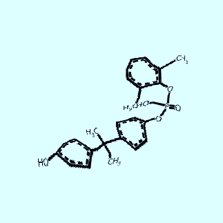 Cc1cccc(C)c1OP(=O)(O)Oc1ccc(C(C)(C)c2ccc(O)cc2)cc1